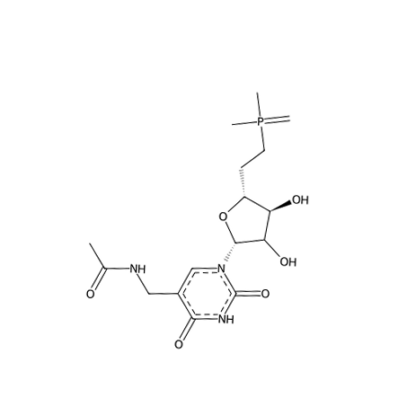 C=P(C)(C)CC[C@H]1O[C@@H](n2cc(CNC(C)=O)c(=O)[nH]c2=O)C(O)[C@@H]1O